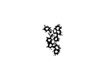 c1ccc(-c2nc(-c3ccccc3)nc(-c3c(-c4ccc(-n5c6ccccc6c6c7ccccc7ccc65)cc4)ccc4ccccc34)n2)cc1